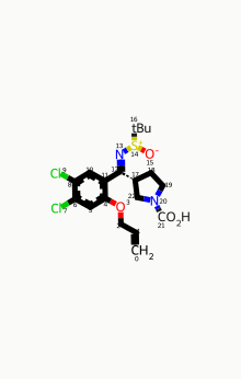 C=CCOc1cc(Cl)c(Cl)cc1C(=N[S+]([O-])C(C)(C)C)[C@@H]1CCN(C(=O)O)C1